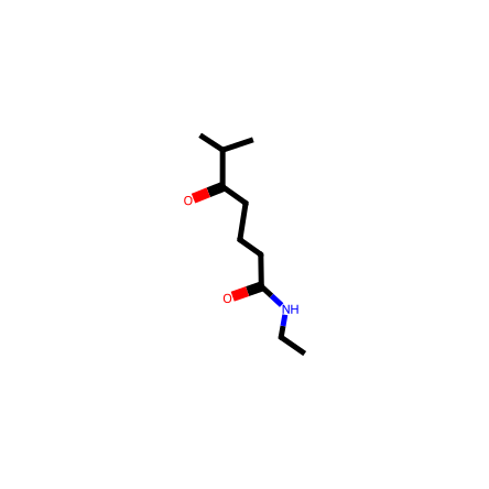 CCNC(=O)CCCC(=O)C(C)C